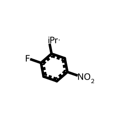 C[C](C)c1cc([N+](=O)[O-])ccc1F